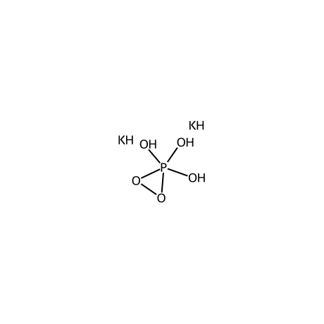 OP1(O)(O)OO1.[KH].[KH]